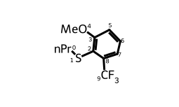 CCCSc1c(OC)cccc1C(F)(F)F